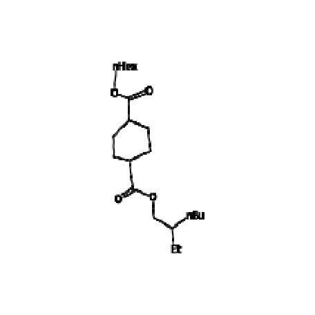 CCCCCCOC(=O)C1CCC(C(=O)OCC(CC)CCCC)CC1